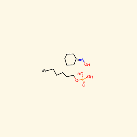 CC(C)CCCCCOP(=O)(O)O.ON=C1CCCCC1